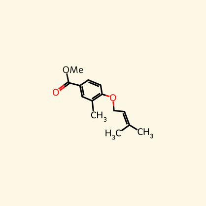 COC(=O)c1ccc(OCC=C(C)C)c(C)c1